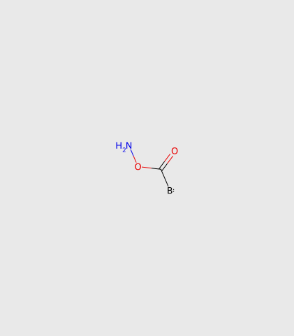 [B]C(=O)ON